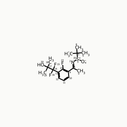 CC(=N[S@+]([O-])C(C)(C)C)c1cccc(C(F)(F)C(C)(C)O)c1F